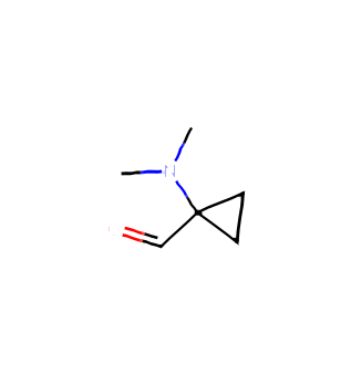 CN(C)C1(C=O)CC1